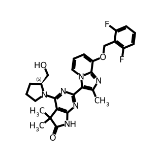 Cc1nc2c(OCc3c(F)cccc3F)cccn2c1-c1nc2c(c(N3CCC[C@H]3CO)n1)C(C)(C)C(=O)N2